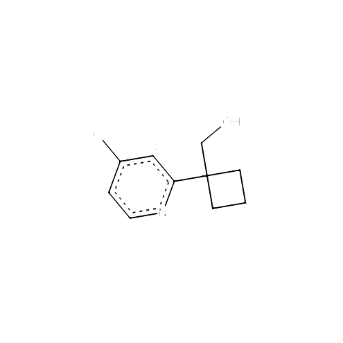 OCC1(c2cc(Br)ccn2)CCC1